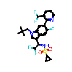 CC(C)(C)Cn1cc(C(NS(=O)(=O)C2CC2)C(F)F)c2cc(F)c(-c3ncccc3C(F)F)cc21